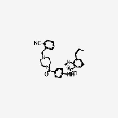 C=Nc1c(/C=C\C)cccc1S(=O)(=O)Nc1ccc(C(=O)N2CCN(Cc3ccccc3C#N)CC2)cc1